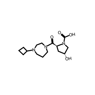 O=C([C@@H]1C[C@@H](O)CN1C(=O)O)N1CCCN(C2CCC2)CC1